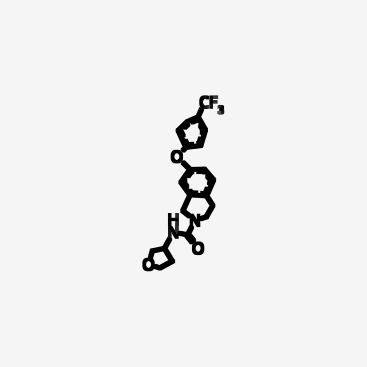 O=C(NC1CCOC1)N1CCc2ccc(Oc3ccc(C(F)(F)F)cc3)cc2C1